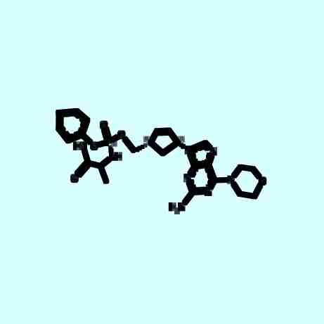 CC(N[P@](=O)(OC[C@@H]1C=C[C@H](n2cnc3c(N4CCOCC4)nc(N)nc32)C1)Oc1ccccc1)C(=O)O